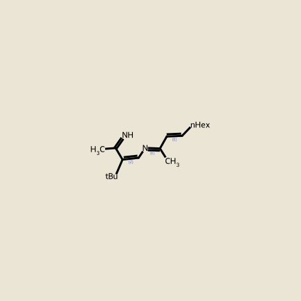 CCCCCC/C=C/C(C)=N/C=C(\C(C)=N)C(C)(C)C